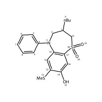 CCCCC1CN(c2ccccc2)c2cc(SC)c(O)cc2S(=O)(=O)C1